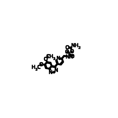 COc1cc2ncnc(-c3ccc(CNS(=O)(=O)OC(N)=O)nc3)c2cc1OC